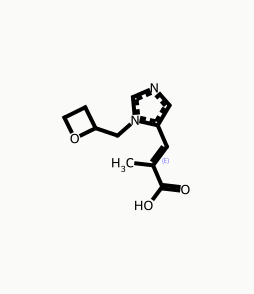 C/C(=C\c1cncn1CC1CCO1)C(=O)O